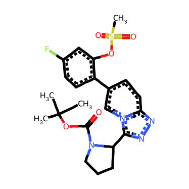 CC(C)(C)OC(=O)N1CCCC1c1nnc2ccc(-c3ccc(F)cc3OS(C)(=O)=O)cn12